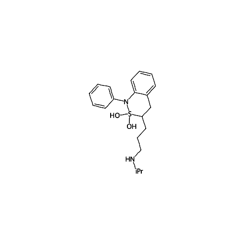 CC(C)NCCCC1Cc2ccccc2N(c2ccccc2)S1(O)O